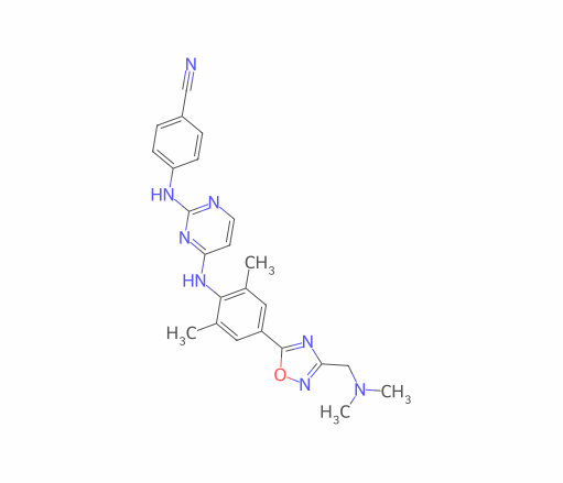 Cc1cc(-c2nc(CN(C)C)no2)cc(C)c1Nc1ccnc(Nc2ccc(C#N)cc2)n1